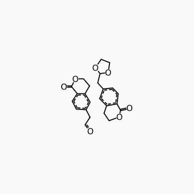 O=C1OCCc2cc(CC3OCCO3)ccc21.O=CCc1ccc2c(c1)CCOC2=O